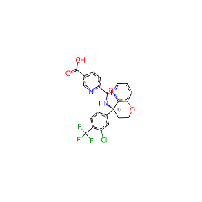 O=C(O)c1ccc(C(=O)N[C@]2(c3ccc(C(F)(F)F)c(Cl)c3)CCOc3cccnc32)nc1